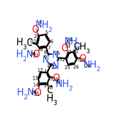 Cc1c(ON)ccc(-c2nc(-c3ccc(ON)c(C)c3ON)nc(-c3ccc(ON)c(C)c3ON)n2)c1ON